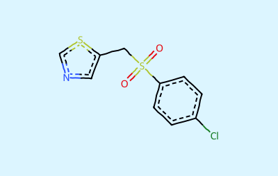 O=S(=O)(Cc1cncs1)c1ccc(Cl)cc1